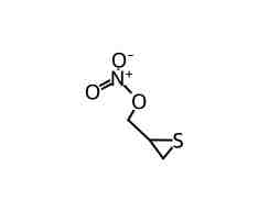 O=[N+]([O-])OCC1CS1